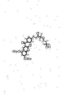 COc1cc(OC)c2cc(C(=O)c3ccc(CCC(=O)C(C)(C)OCCC(C)(C)O)cc3)c(=O)oc2c1